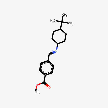 COC(=O)c1ccc(/C=N/C2CCC(C(C)(C)C)CC2)cc1